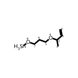 C=CC(C)OCCCO[SiH3]